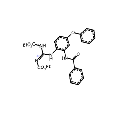 CCOC(=O)/N=C(/NC(=O)OCC)Nc1ccc(Oc2ccccc2)cc1NC(=O)c1ccccc1